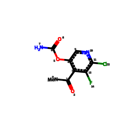 CNC(=O)c1c(OC(N)=O)cnc(Cl)c1F